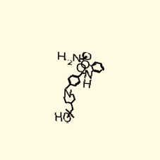 CC(C)(O)CC1CCN(Cc2ccc(C(=O)Nc3ccccc3OC(N)=O)cc2)CC1